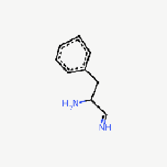 N=CC(N)Cc1ccccc1